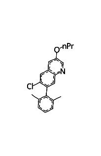 CCCOc1cnc2cc(-c3c(C)cccc3C)c(Cl)cc2c1